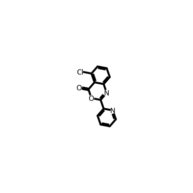 O=c1oc(-c2ccccn2)nc2cccc(Cl)c12